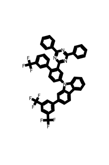 FC(F)(F)c1cccc(-c2ccc(-n3c4ccccc4c4ccc(-c5cc(C(F)(F)F)cc(C(F)(F)F)c5)cc43)cc2-c2nc(-c3ccccc3)nc(-c3ccccc3)n2)c1